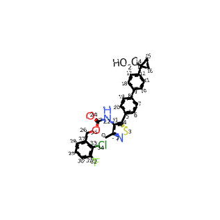 Cc1nsc(-c2ccc(-c3ccc(C4(C(=O)O)CC4)cc3)cc2)c1NC(=O)OCc1cccc(F)c1Cl